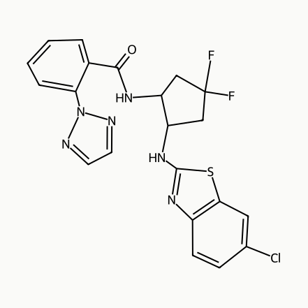 O=C(NC1CC(F)(F)CC1Nc1nc2ccc(Cl)cc2s1)c1ccccc1-n1nccn1